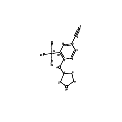 N#Cc1ccc(OC2CCOC2)c(C(F)(F)F)c1